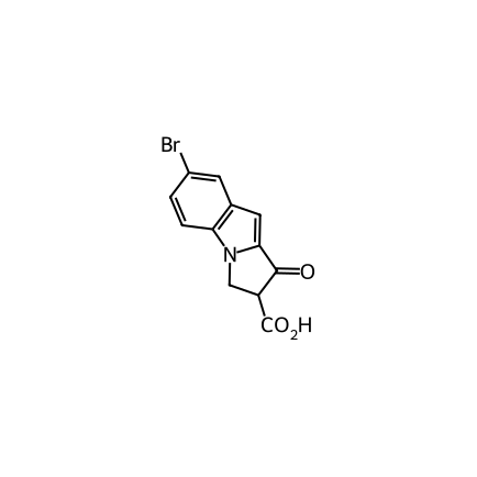 O=C(O)C1Cn2c(cc3cc(Br)ccc32)C1=O